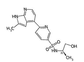 Cc1cc2c(-c3ccc(S(=O)(=O)N[C@H](C)CO)cn3)ccnc2[nH]1